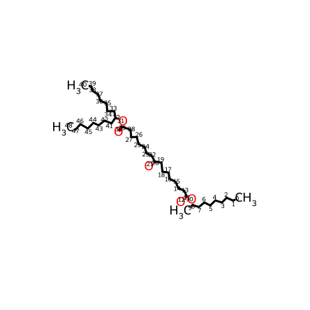 CCCCCCCCC(C)OC(=O)CCCCCCCC(=O)CCCCCCCC(=O)OC(CCCCCCCC)CCCCCCCC